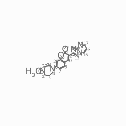 CN1CCCN(c2ccc3cc(-c4cn5cccnc5n4)c(=O)oc3c2)CC1